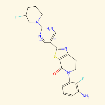 N/C=C(\C=N/CN1CCCC(F)C1)c1nc2c(s1)C(=O)N(c1cccc(N)c1F)CC2